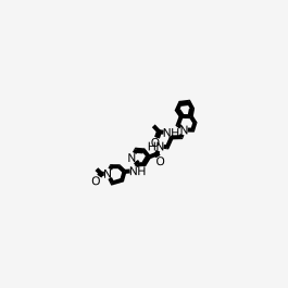 CC(=O)NC(CNC(=O)c1ccnc(NC2CCN(C(C)=O)CC2)c1)CN1CCc2ccccc2C1